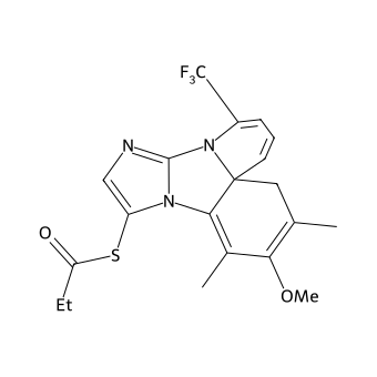 CCC(=O)Sc1cnc2n1C1=C(C)C(OC)=C(C)CC13C=CC=C(C(F)(F)F)N23